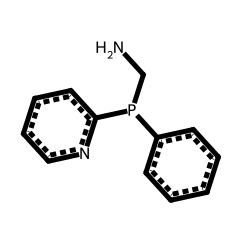 NCP(c1ccccc1)c1ccccn1